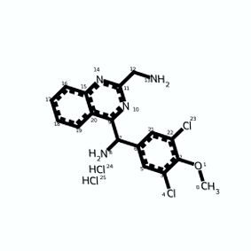 COc1c(Cl)cc(C(N)c2nc(CN)nc3ccccc23)cc1Cl.Cl.Cl